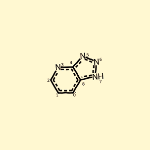 [c]1ccnc2nn[nH]c12